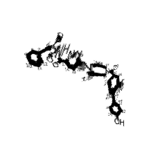 O=C(NS(=O)(=O)Cc1ccccc1)c1ccc(N2CCN(C(=O)c3ccc(-c4ccc(O)cc4)c(F)c3)CC2)nn1